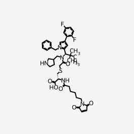 CC(C)(C)[C@H](c1cc(-c2cc(F)ccc2F)cn1Cc1ccccc1)N(CC1CCNC1)C(=O)CSC[C@H](NC(=O)CCCCCN1C(=O)C=CC1=O)C(=O)O